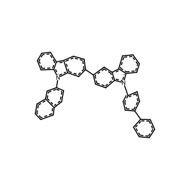 c1ccc(-c2ccc(-n3c4ccccc4c4cc(-c5ccc6c7ccccc7n(-c7ccc8ccccc8c7)c6c5)ccc43)cc2)cc1